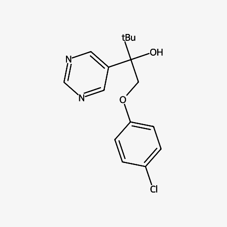 CC(C)(C)C(O)(COc1ccc(Cl)cc1)c1cncnc1